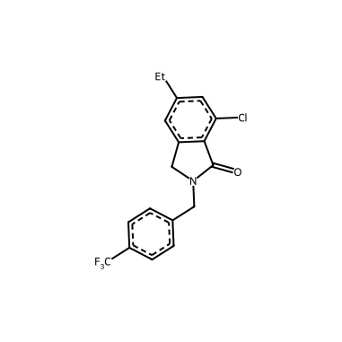 CCc1cc(Cl)c2c(c1)CN(Cc1ccc(C(F)(F)F)cc1)C2=O